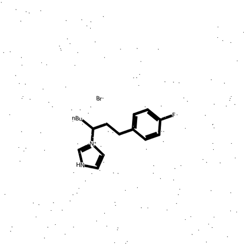 CCCCC(CCc1ccc(F)cc1)[n+]1cc[nH]c1.[Br-]